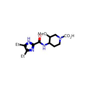 CCc1nc(C(=O)NC2CCN(C(=O)O)CC2OC)[nH]c1CC